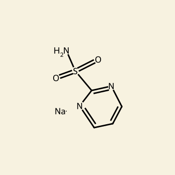 NS(=O)(=O)c1ncccn1.[Na]